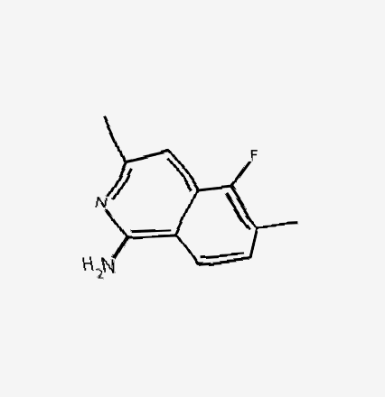 Cc1cc2c(F)c(C)ccc2c(N)n1